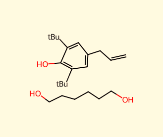 C=CCc1cc(C(C)(C)C)c(O)c(C(C)(C)C)c1.OCCCCCCO